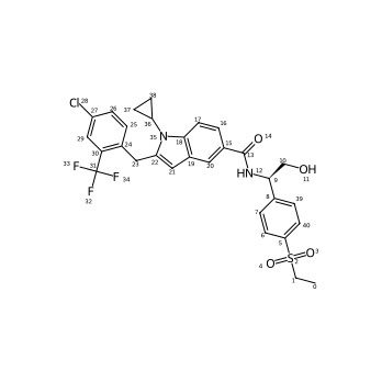 CCS(=O)(=O)c1ccc([C@H](CO)NC(=O)c2ccc3c(c2)cc(Cc2ccc(Cl)cc2C(F)(F)F)n3C2CC2)cc1